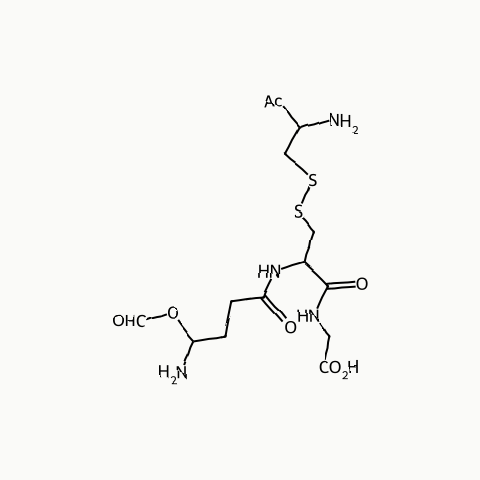 CC(=O)C(N)CSSCC(NC(=O)CCC(N)OC=O)C(=O)NCC(=O)O